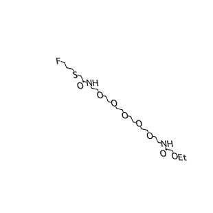 CCOCC(=O)NCCOCCOCCOCCOCCOCCNC(=O)CSCCCF